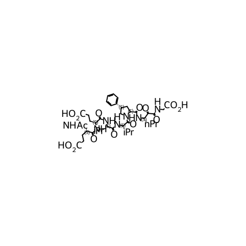 CCC[C@H](NC(=O)[C@@H]1C[C@@H](c2ccccc2)CN1C(=O)[C@@H](NC(=O)[C@@H](NC(=O)[C@H](CCC(=O)O)NC(=O)[C@H](CCC(=O)O)NC(C)=O)C(C)C)C(C)C)C(=O)C(=O)NCC(=O)O